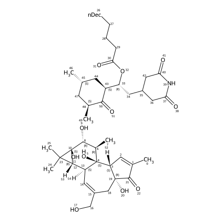 CC1=C[C@H]2[C@@]3(O)[C@H](C)[C@@H](O)[C@]4(O)[C@H]([C@@H]3C=C(CO)C[C@]2(O)C1=O)C4(C)C.CCCCCCCCCCCCCC(=O)O[C@H](CC1CC(=O)NC(=O)C1)[C@@H]1C[C@@H](C)C[C@H](C)C1=O